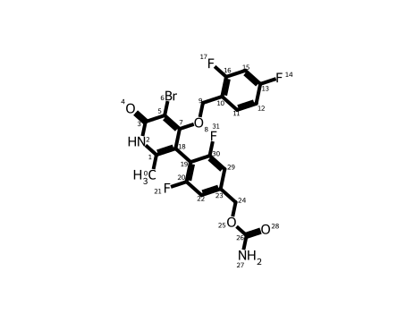 Cc1[nH]c(=O)c(Br)c(OCc2ccc(F)cc2F)c1-c1c(F)cc(COC(N)=O)cc1F